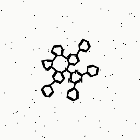 c1ccc(-c2ccc3c(c2)c2ccccc2c2ccccc2c2cc(-c4ccccc4)ccc2n3-c2nc(-c3ccccc3)nc(-c3ccccc3)n2)cc1